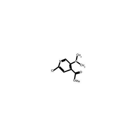 COC(=O)c1cc(Cl)ncc1N(C)C